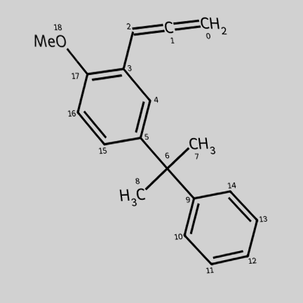 C=C=Cc1cc(C(C)(C)c2ccccc2)ccc1OC